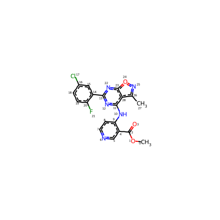 COC(=O)c1cnccc1Nc1nc(-c2cc(Cl)ccc2F)nc2onc(C)c12